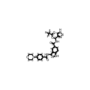 O=C(Nc1n[nH]c2ccc(C(=O)NC(OC(=O)C(F)(F)F)c3c[nH]nn3)cc12)c1ccc(N2CCOCC2)cc1